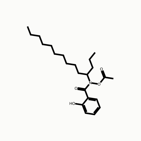 CCCCCCCCCCC(CCC)N(OC(C)=O)C(=O)c1ccccc1O